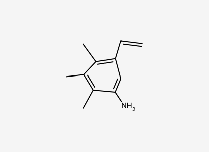 C=Cc1cc(N)c(C)c(C)c1C